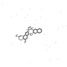 CC12C=CC1(C)n1cc3c4c(c(F)cc3c1Oc1cc3ccccc3cc12)CCC(F)=C4